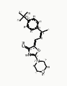 CC(=CC=C1SC(N2CCOCC2)=NC1=O)c1ccc(C(C)(C)C)cc1